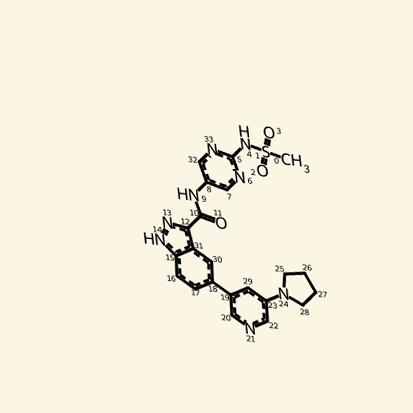 CS(=O)(=O)Nc1ncc(NC(=O)c2n[nH]c3ccc(-c4cncc(N5CCCC5)c4)cc23)cn1